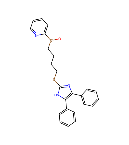 [O-][S+](CCCCSc1nc(-c2ccccc2)c(-c2ccccc2)[nH]1)c1ccccn1